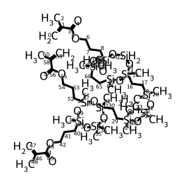 C=C(C)C(=O)OCCC[Si]1(C)O[SiH2]O[Si](C)(CC[Si](C)(C)O[Si](C)(C)O[Si](C)(C)CC[Si]2(C)O[Si](C)(C)O[Si](C)(CCCOC(=O)C(=C)C)O[Si](C)(CCCOC(=O)C(=C)C)O2)O[Si](C)(CC[Si](C)(C)O)O1